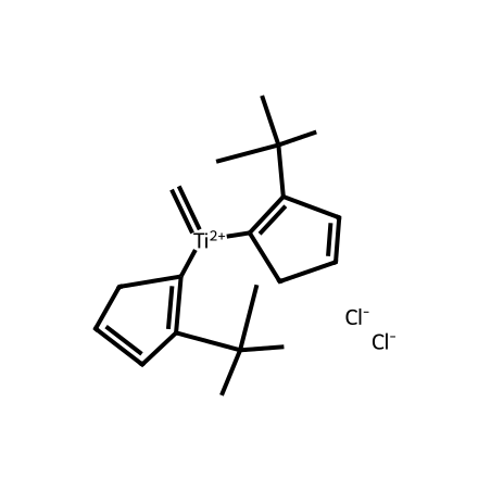 [CH2]=[Ti+2]([C]1=C(C(C)(C)C)C=CC1)[C]1=C(C(C)(C)C)C=CC1.[Cl-].[Cl-]